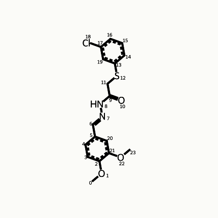 COc1ccc(C=NNC(=O)CSc2cccc(Cl)c2)cc1OC